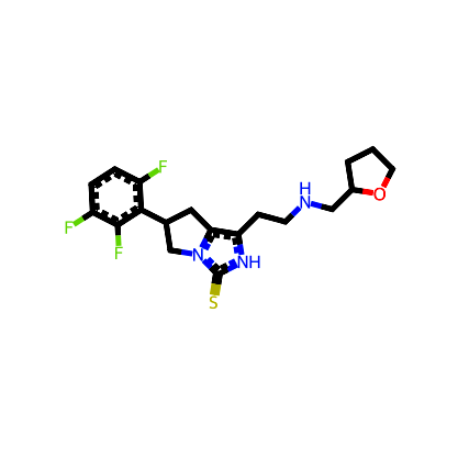 Fc1ccc(F)c(C2Cc3c(CCNCC4CCCO4)[nH]c(=S)n3C2)c1F